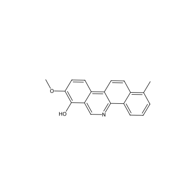 COc1ccc2c(cnc3c4cccc(C)c4ccc23)c1O